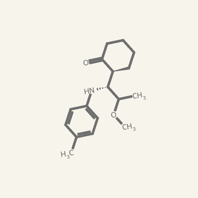 COC(C)[C@H](Nc1ccc(C)cc1)[C@@H]1CCCCC1=O